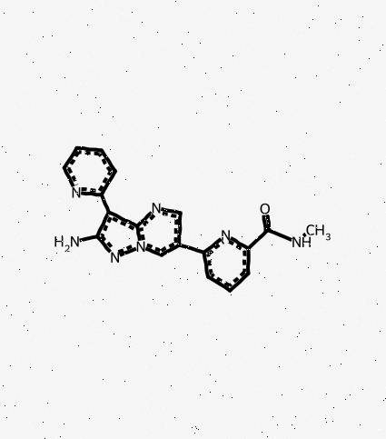 CNC(=O)c1cccc(-c2cnc3c(-c4ccccn4)c(N)nn3c2)n1